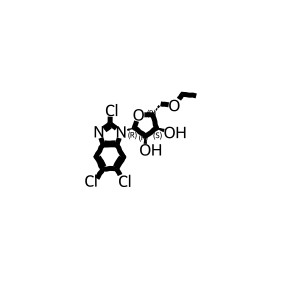 CCOC[C@H]1O[C@@H](n2c(Cl)nc3cc(Cl)c(Cl)cc32)[C@H](O)[C@@H]1O